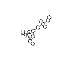 CC1(C)c2ccc(-c3ccc(-c4c5ccccc5c(-c5ccc6ccccc6c5)c5ccccc45)cc3)cc2-c2ccc3c(sc4ccc5ccccc5c43)c21